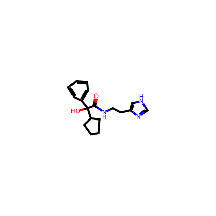 O=C(NCCc1c[nH]cn1)C(O)(c1ccccc1)C1CCCC1